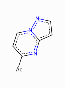 CC(=O)c1ccn2nccc2n1